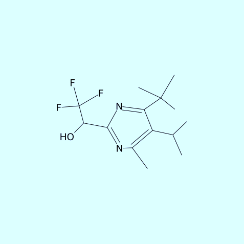 Cc1nc(C(O)C(F)(F)F)nc(C(C)(C)C)c1C(C)C